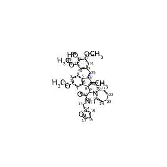 COc1ccc2c(c1)C(C(C(=O)NCc1ccco1)N1C=C=CCC=C1)=C(C)/C2=C/c1cc(OC)c(O)c(OC)c1